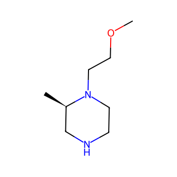 COCCN1CCNC[C@H]1C